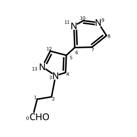 O=CCCn1cc(-c2ccncn2)cn1